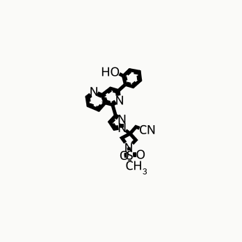 CS(=O)(=O)N1CC(CC#N)(n2ccc(-c3nc(-c4ccccc4O)cc4ncccc34)n2)C1